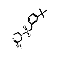 CCN(CC(N)=O)S(=O)(=O)Cc1cccc(C(C)(C)C)c1